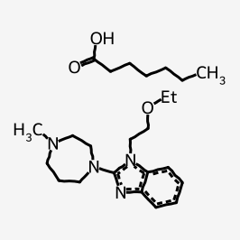 CCCCCCC(=O)O.CCOCCn1c(N2CCCN(C)CC2)nc2ccccc21